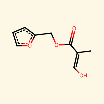 CC(=CO)C(=O)OCc1ccco1